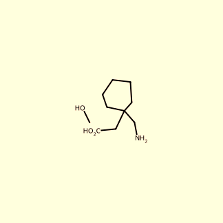 CO.NCC1(CC(=O)O)CCCCC1